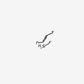 FC=CF.F[SiH3]